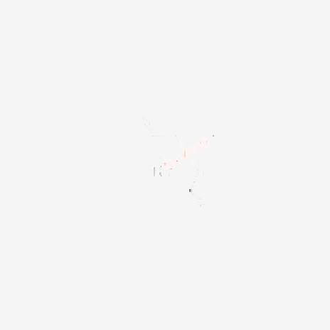 C=CCP(=O)([O-])CC=C.[Na+]